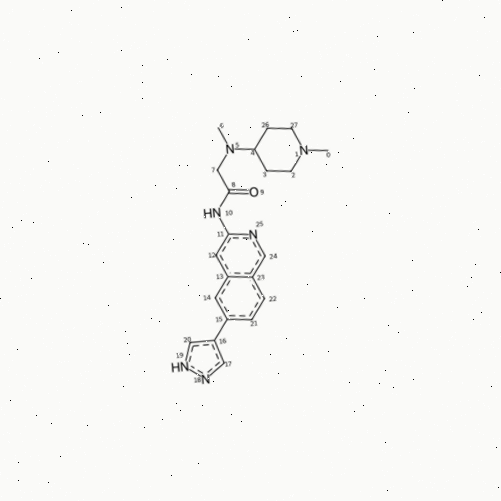 CN1CCC(N(C)CC(=O)Nc2cc3cc(-c4cn[nH]c4)ccc3cn2)CC1